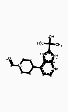 CC(C)(O)c1nc2c(C3CCN(C=O)CC3)ccnc2[nH]1